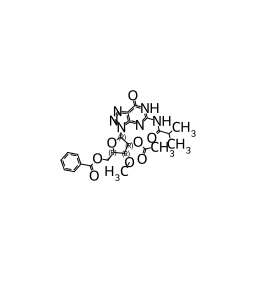 CO[C@H]1[C@@H](OC(C)=O)[C@H](n2nnc3c(=O)[nH]c(NC(=O)C(C)C)nc32)O[C@@H]1COC(=O)c1ccccc1